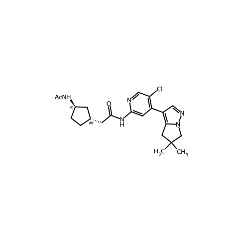 CC(=O)N[C@@H]1CC[C@@H](CC(=O)Nc2cc(-c3cnn4c3CC(C)(C)C4)c(Cl)cn2)C1